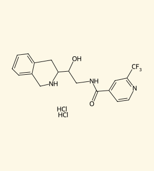 Cl.Cl.O=C(NCC(O)C1Cc2ccccc2CN1)c1ccnc(C(F)(F)F)c1